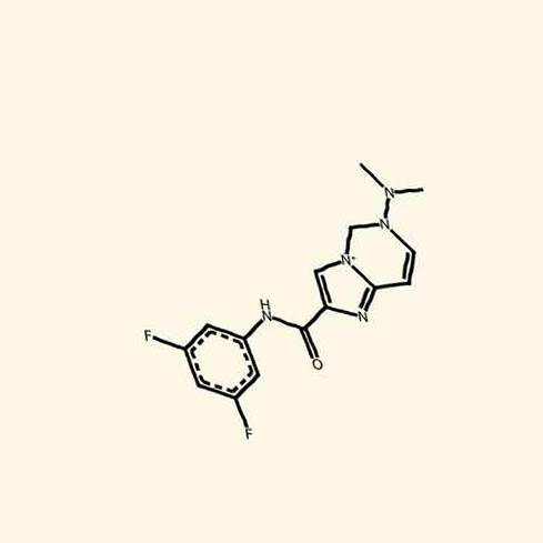 CN(C)N1C=CC2=NC(C(=O)Nc3cc(F)cc(F)c3)=C[N+]2C1